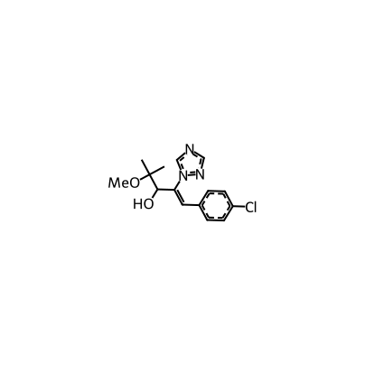 COC(C)(C)C(O)C(=Cc1ccc(Cl)cc1)n1cncn1